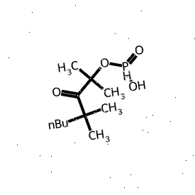 CCCCC(C)(C)C(=O)C(C)(C)O[PH](=O)O